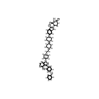 Nc1ncnc2c1c(-c1ccc(Oc3ccccc3)cc1)nn2C1CCN(CCN2CCC(N3CCN(c4ccc5c(c4)CN(C4CCC(=O)NC4=O)C5=O)CC3)CC2)CC1